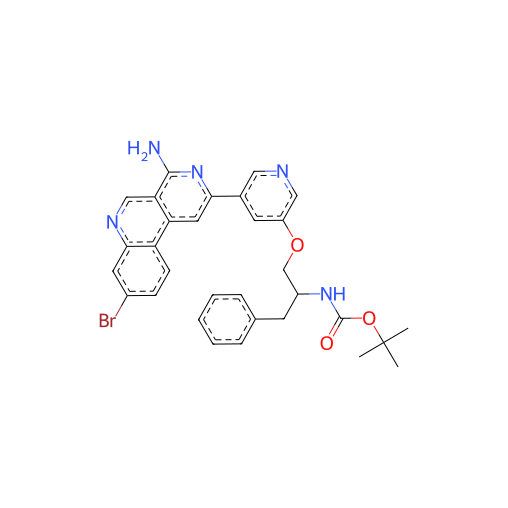 CC(C)(C)OC(=O)NC(COc1cncc(-c2cc3c(cnc4cc(Br)ccc43)c(N)n2)c1)Cc1ccccc1